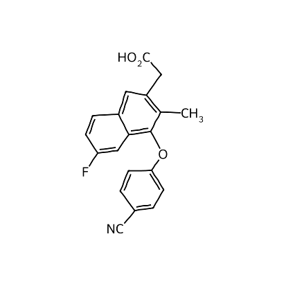 Cc1c(CC(=O)O)cc2ccc(F)cc2c1Oc1ccc(C#N)cc1